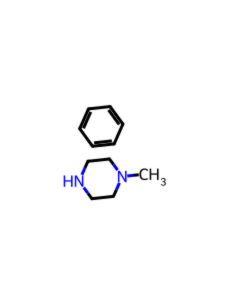 CN1CCNCC1.c1ccccc1